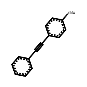 CCCCc1ccc(C#Cc2ccccc2)cc1